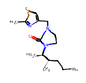 Cc1nc(CN2CCN([C@H](C(=O)O)[C@@H](C)CCC(C)(C)C)C2=O)cs1